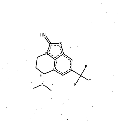 CN(C)[C@@H]1CCn2c(=N)sc3cc(C(F)(F)F)cc1c32